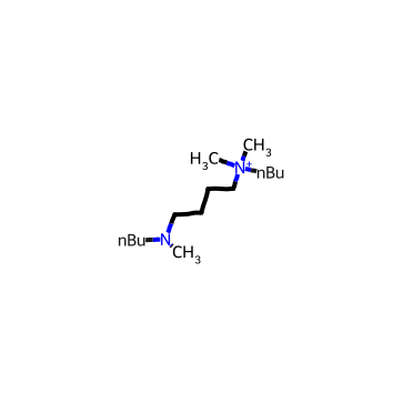 CCCCN(C)CCCC[N+](C)(C)CCCC